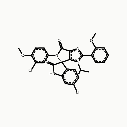 COc1ccc(N2C(=O)c3nc(-c4ccccc4OC)n(C(C)C)c3[C@@]23C(=O)Nc2cc(Cl)ccc23)cc1Cl